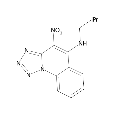 CC(C)CNc1c([N+](=O)[O-])c2nnnn2c2ccccc12